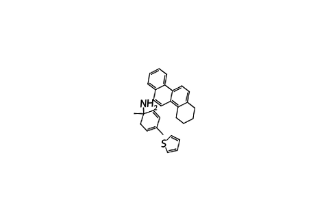 CC1=CCC(C)(N)C=C1.c1ccc2c(c1)ccc1c3c(ccc12)CCCC3.c1ccsc1